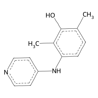 Cc1ccc(Nc2ccncc2)c(C)c1O